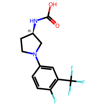 O=C(O)N[C@@H]1CCN(c2ccc(F)c(C(F)(F)F)c2)C1